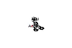 CC(=O)COC1CN(C(=O)OC(C)(C)C)CCC1N(Cc1ccccc1)C(=O)OCc1ccccc1